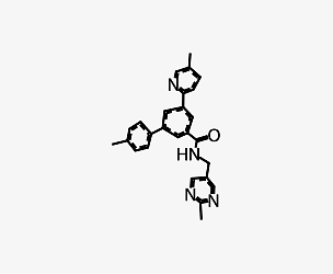 Cc1ccc(-c2cc(C(=O)NCc3cnc(C)nc3)cc(-c3ccc(C)cn3)c2)cc1